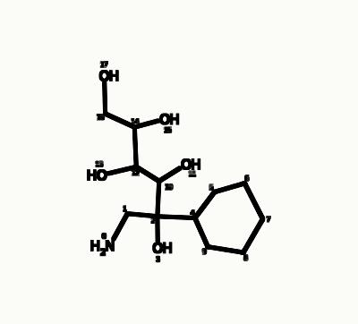 NCC(O)(C1CCCCC1)C(O)C(O)C(O)CO